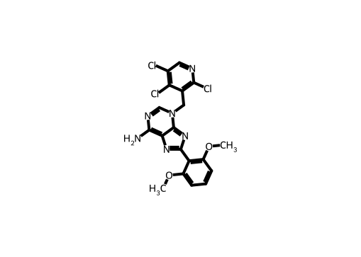 COc1cccc(OC)c1-c1nc2c(N)ncn(Cc3c(Cl)ncc(Cl)c3Cl)c-2n1